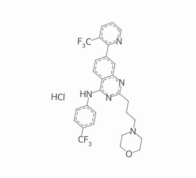 Cl.FC(F)(F)c1ccc(Nc2nc(CCCN3CCOCC3)nc3cc(-c4ncccc4C(F)(F)F)ccc23)cc1